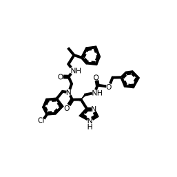 CC(CNC(=O)CN(Cc1ccc(Cl)cc1)C(=O)[C@@H](CNC(=O)OCc1ccccc1)c1c[nH]cn1)c1ccccc1